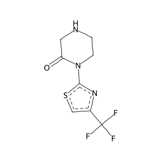 O=C1CNCCN1c1nc(C(F)(F)F)cs1